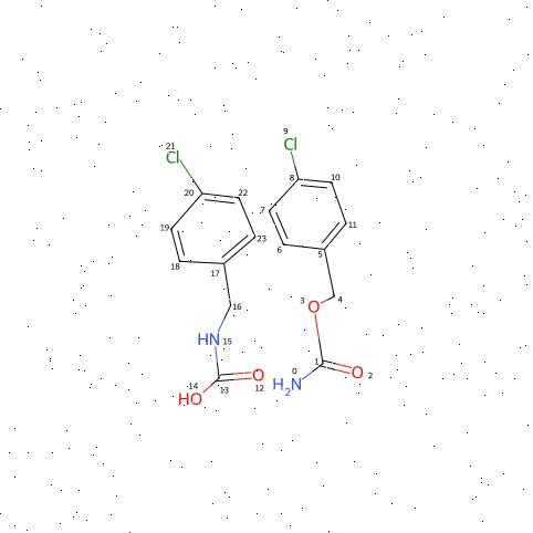 NC(=O)OCc1ccc(Cl)cc1.O=C(O)NCc1ccc(Cl)cc1